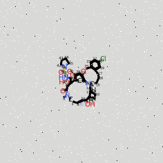 CN1CC/C=C/[C@H](O)[C@@H]2CC[C@H]2CN2CCCCc3cc(Cl)ccc3COc3ccc(cc32)[C@@](O)(C(=O)NS(=O)(=O)N2CCCC2)CC1=O